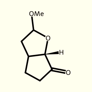 COC1CC2CCC(=O)[C@H]2O1